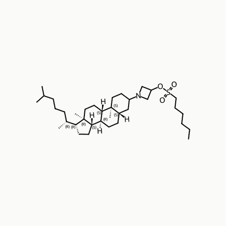 CCCCCCS(=O)(=O)OC1CN(C2CC[C@@]3(C)[C@@H](CC[C@@H]4[C@@H]3CC[C@]3(C)[C@@H]([C@H](C)CCCC(C)C)CC[C@@H]43)C2)C1